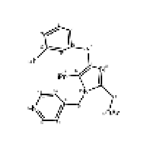 CC(=O)OCc1nc(Sc2cccc(F)c2)c(C(C)C)n1Cc1ccncc1